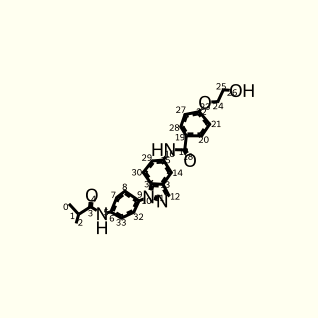 CC(C)C(=O)Nc1ccc(-n2ncc3cc(NC(=O)c4ccc(OCCO)cc4)ccc32)cc1